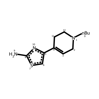 CCCCN1CC=C(c2csc(N)n2)CC1